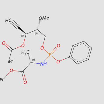 C#C[C@H](OC(=O)C(C)C)[C@@H](COP(=O)(N[C@@H](C)C(=O)OC(C)C)Oc1ccccc1)OC